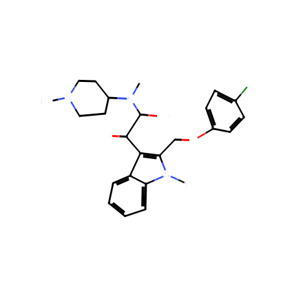 CCn1c(COc2ccc(Cl)cc2)c(C(O)C(O)N(C)C2CCN(C)CC2)c2ccccc21